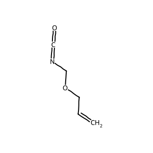 C=CCOCN=C=O